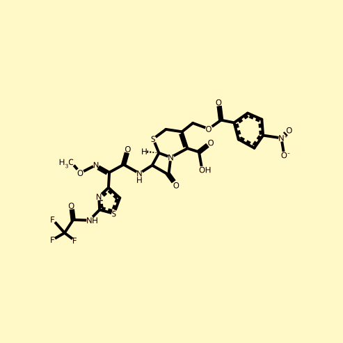 CO/N=C(/C(=O)NC1C(=O)N2C(C(=O)O)=C(COC(=O)c3ccc([N+](=O)[O-])cc3)CS[C@H]12)c1csc(NC(=O)C(F)(F)F)n1